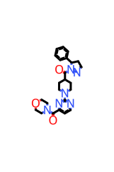 O=C(c1ccnc(N2CCC(C(=O)N3N=CCC3c3ccccc3)CC2)n1)N1CCOCC1